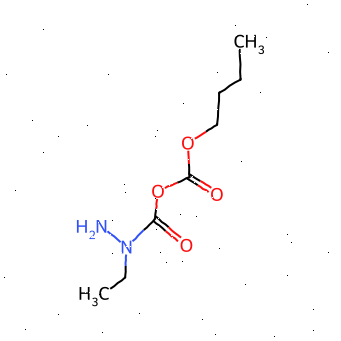 CCCCOC(=O)OC(=O)N(N)CC